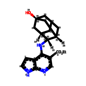 CCOC(=O)c1cnc2[nH]ccc2c1N[C@@H]1[C@@H]2CC3C[C@H]1C[C@@](O)(C3)C2